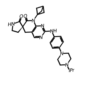 CC(C)N1CCN(c2ccc(Nc3ncc4c(n3)N(C35CC(C3)C5)C(=O)[C@]3(CCNC3=O)C4)cc2)CC1